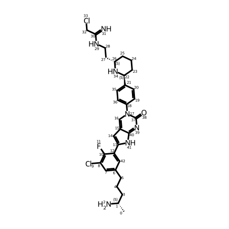 C[C@H](N)CCCc1cc(Cl)c(F)c(-c2cc3cn(-c4ccc([C@@H]5CCC[C@@H](CCNC(=N)CCl)N5)cc4)c(=O)nc3[nH]2)c1